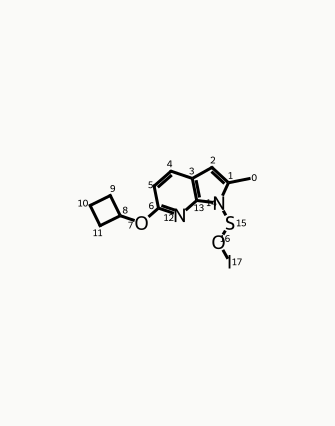 Cc1cc2ccc(OC3CCC3)nc2n1SOI